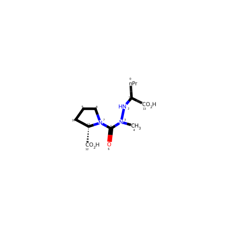 CCCC(NN(C)C(=O)N1CCC[C@H]1C(=O)O)C(=O)O